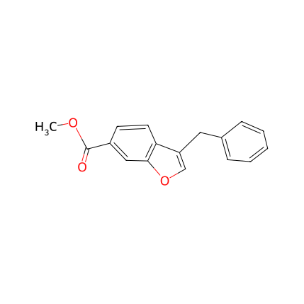 COC(=O)c1ccc2c(Cc3ccccc3)coc2c1